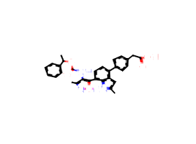 Cc1cc2c(-c3ccc(CC(=O)O)cc3)ccc(-c3onc(C)c3NC(=O)OC(C)c3ccccc3)c2[nH]1